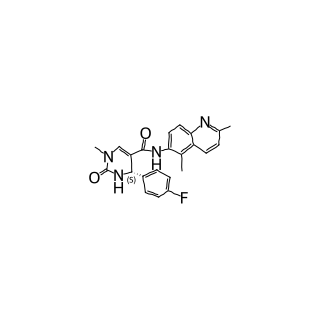 Cc1ccc2c(C)c(NC(=O)C3=CN(C)C(=O)N[C@H]3c3ccc(F)cc3)ccc2n1